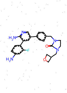 Nc1ccc(-c2cc(-c3ccc(CN4CCN(CC5COC5)C4=O)cc3)cnc2N)c(F)c1